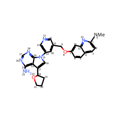 CNc1ccc2ccc(OCc3cncc(-n4cc(C5CCCO5)c5c(N)ncnc54)c3)cc2n1